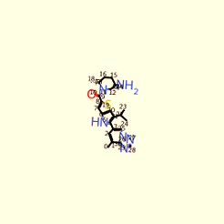 Cc1cc(-c2[nH]c3cc(C(=O)N4C[C@@H](N)CC[C@H]4C)sc3c2C(C)C)cn2ncnc12